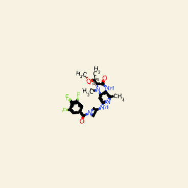 CO[C@H](C)[C@H]1C(=O)Nc2c(cc(NC3CN(C(=O)c4cc(F)c(F)c(F)c4)C3)nc2C)N1C